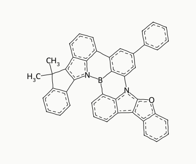 CC1(C)c2ccccc2-c2c1c1cccc3c1n2B1c2c-3cc(-c3ccccc3)cc2-n2c3oc4ccccc4c3c3cccc1c32